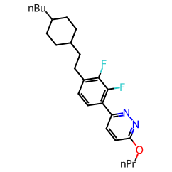 CCCCC1CCC(CCc2ccc(-c3ccc(OCCC)nn3)c(F)c2F)CC1